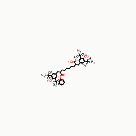 CC(C)(C)c1cc(CC(CCCCCCC(Cc2cc(C(C)(C)C)c(O)c(C(C)(C)C)c2)C(=O)Oc2ccccc2)C(=O)O)cc(C(C)(C)C)c1O